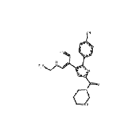 N#Cc1ccc(-c2nc(C(=O)N3CCCNC3)sc2/C(C=N)=C/NCC(F)(F)F)cc1